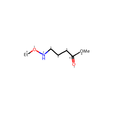 CCONCCCC(=O)OC